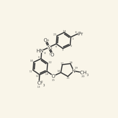 CC(C)c1ccc(S(=O)(=O)Nc2ccc(C(F)(F)F)c(OC3CCN(C)C3)c2)cc1